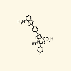 CC1CCC(C(=O)N(c2nn(-c3ccc(-c4cc5cccc(N)c5o4)cc3)cc2C(=O)O)C(C)C)CC1